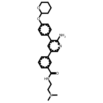 CN(C)CCNC(=O)c1cccc(-c2cnc(N)c(-c3ccc(OC4CCCCO4)cc3)c2)c1